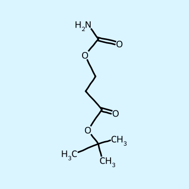 CC(C)(C)OC(=O)CCOC(N)=O